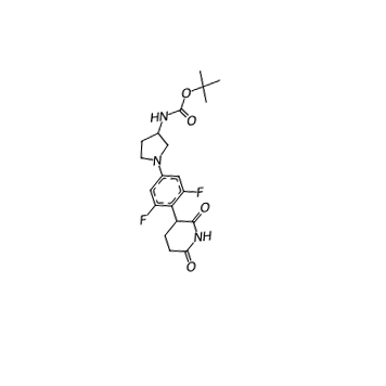 CC(C)(C)OC(=O)NC1CCN(c2cc(F)c(C3CCC(=O)NC3=O)c(F)c2)C1